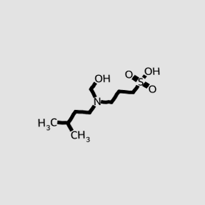 CC(C)CCN(CO)CCCS(=O)(=O)O